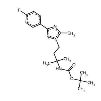 Cc1nc(-c2ccc(F)cc2)nn1CCC(C)(C)NC(=O)OC(C)(C)C